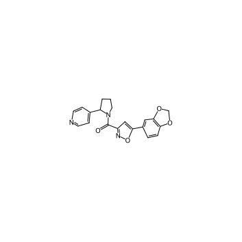 O=C(c1cc(-c2ccc3c(c2)OCO3)on1)N1CCCC1c1ccncc1